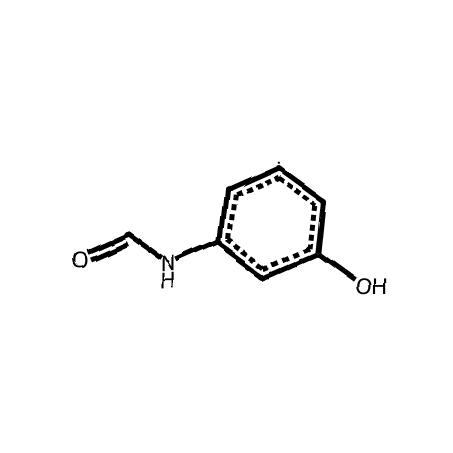 O=CNc1c[c]cc(O)c1